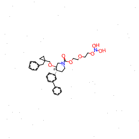 O=C(OCCOCCON(O)O)N1CC[C@H](c2cccc(-c3ccccc3)c2)C(OCC2(Cc3ccccc3)CC2)C1